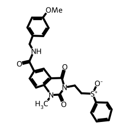 COc1ccc(CNC(=O)c2ccc3c(c2)c(=O)n(CC[S+]([O-])c2ccccc2)c(=O)n3C)cc1